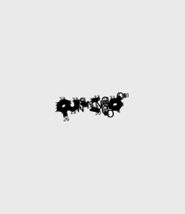 COc1ccc(OC)c(S(=O)(=O)N2CCN(c3nc(Cc4ccccc4C)cs3)CC2)c1